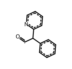 O=[C]C(c1ccccc1)c1ccccn1